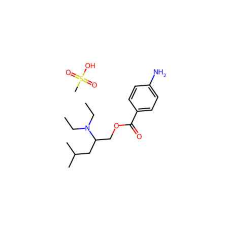 CCN(CC)C(COC(=O)c1ccc(N)cc1)CC(C)C.CS(=O)(=O)O